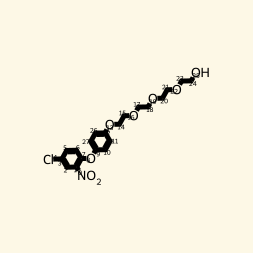 O=[N+]([O-])c1cc(Cl)ccc1Oc1ccc(OCCOCCOCCOCCO)cc1